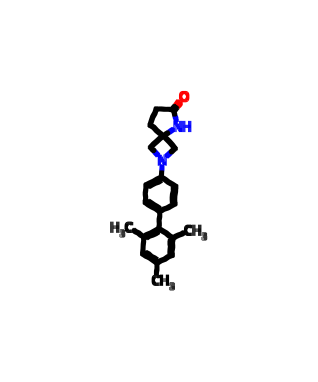 Cc1cc(C)c(-c2ccc(N3CC4(CCC(=O)N4)C3)cc2)c(C)c1